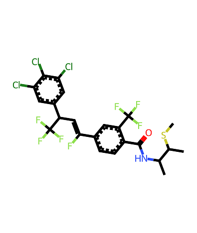 CSC(C)C(C)NC(=O)c1ccc(C(F)=CC(c2cc(Cl)c(Cl)c(Cl)c2)C(F)(F)F)cc1C(F)(F)F